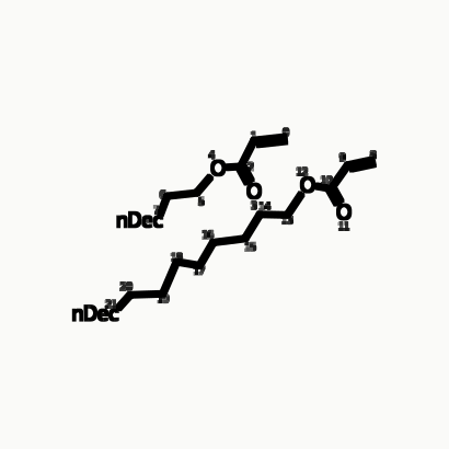 C=CC(=O)OCCCCCCCCCCCC.C=CC(=O)OCCCCCCCCCCCCCCCCCC